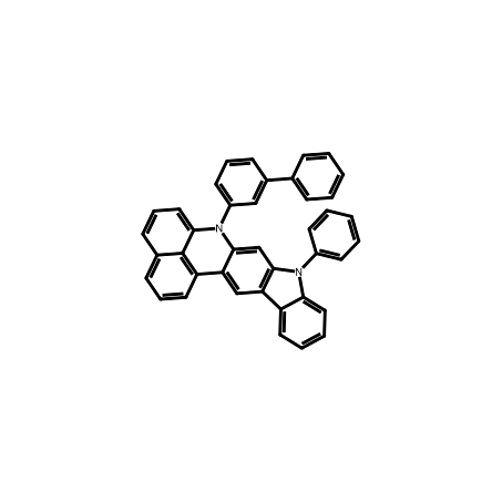 c1ccc(-c2cccc(N3c4cc5c(cc4-c4cccc6cccc3c46)c3ccccc3n5-c3ccccc3)c2)cc1